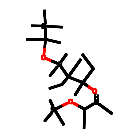 CCC(C)(O[SiH](C)C(C)O[Si](C)(C)C)C(C)(CC)[Si](C)(C)OC(C)(C)[Si](C)(C)C